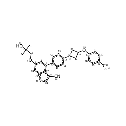 CC(C)(O)COc1cc(-c2ccc(N3CC(Oc4ccc(C(F)(F)F)cc4)C3)nc2)c2c(C#N)cnn2c1